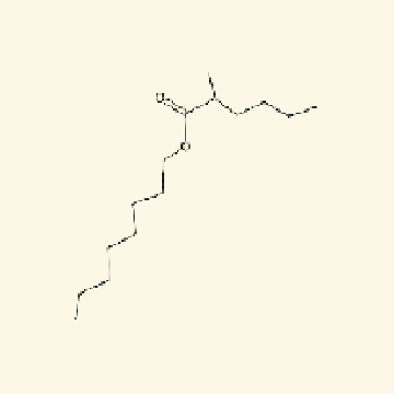 CCCCCCCCOC(=O)C(C)CCCC